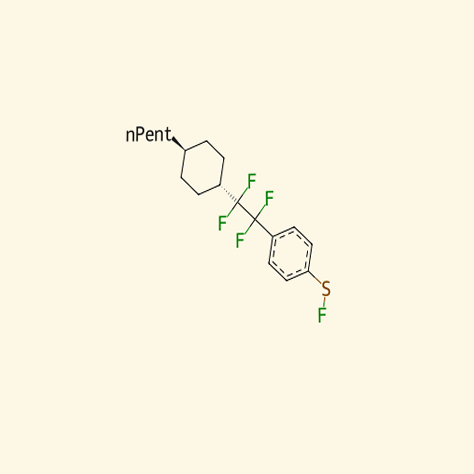 CCCCC[C@H]1CC[C@H](C(F)(F)C(F)(F)c2ccc(SF)cc2)CC1